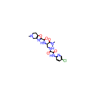 CN1CCc2oc(C(=O)NC(CNC(=O)C(=O)Nc3ccc(Cl)cn3)C(=O)N(C)C)nc2C1